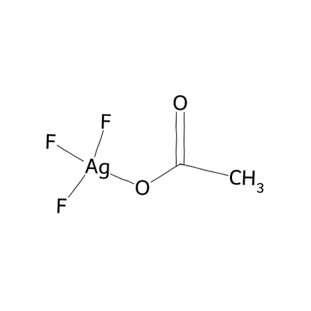 CC(=O)[O][Ag]([F])([F])[F]